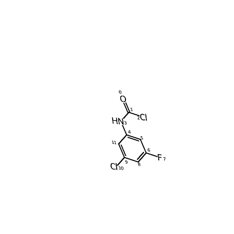 O=C(Cl)Nc1cc(F)cc(Cl)c1